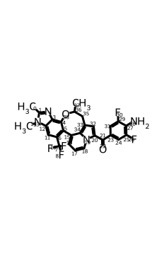 Cc1nc2c3c(c(C(F)(F)F)cc2n1C)-c1cccn2c(C(=O)c4cc(F)c(N)c(F)c4)cc(c12)CC(C)O3